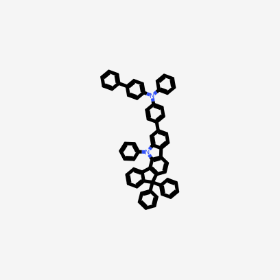 c1ccc(-c2ccc(N(c3ccccc3)c3ccc(-c4ccc5c6ccc7c(c6n(-c6ccccc6)c5c4)-c4ccccc4C7(c4ccccc4)c4ccccc4)cc3)cc2)cc1